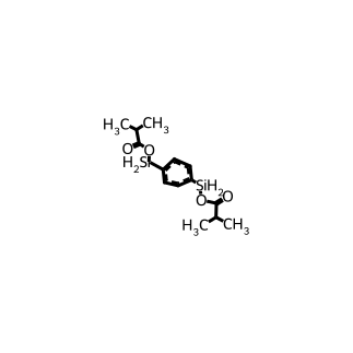 CC(C)C(=O)O[SiH2]c1ccc([SiH2]OC(=O)C(C)C)cc1